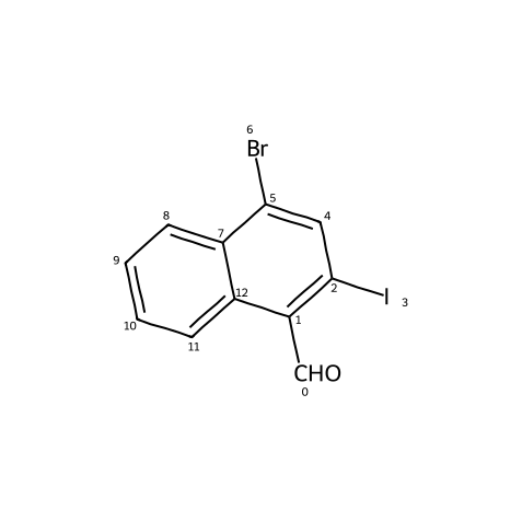 O=Cc1c(I)cc(Br)c2ccccc12